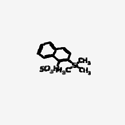 C[Si](C)(C)c1ccc2ccccc2c1S(=O)(=O)O